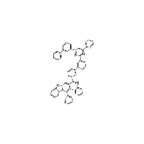 c1ccc(-c2cccc(-c3cc(-c4ccccc4)nc(-c4cccc(-c5cccc(-c6nc7ccccc7c7c(-c8ccccc8)c8c(cc67)oc6ccccc68)c5)c4)n3)c2)cc1